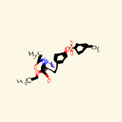 CCOC(=O)[C@H](Cc1ccc(OS(=O)(=O)c2ccc(C)cc2)cc1)NC(C)=O